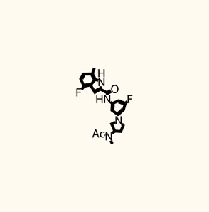 CC(=O)N(C)C1CCN(c2cc(F)cc(NC(=O)c3cc4c(F)ccc(C)c4[nH]3)c2)C1